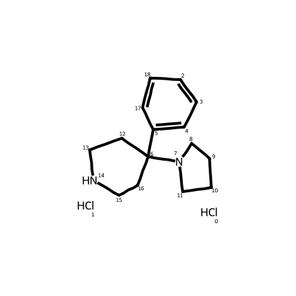 Cl.Cl.c1ccc(C2(N3CCCC3)CCNCC2)cc1